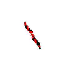 CCCCCC1CCC(c2ccc(-c3ccc(OC(=O)CCC(=O)Oc4ccc(-c5ccc(C6CCC(CCCCC)CC6)cc5)cc4)cc3)cc2)CC1